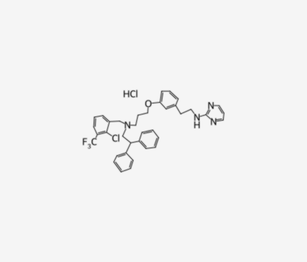 Cl.FC(F)(F)c1cccc(CN(CCCOc2cccc(CCNc3ncccn3)c2)CC(c2ccccc2)c2ccccc2)c1Cl